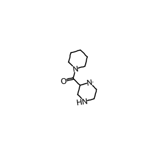 O=C(C1CNCC[N]1)N1CCCCC1